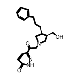 O=C(CN1C[C@@H](CCCc2ccccc2)[C@@H](CO)C1)c1ccc(=O)[nH]n1